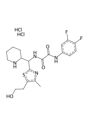 Cc1nc(C(NC(=O)C(=O)Nc2ccc(F)c(F)c2)C2CCCCN2)sc1CCO.Cl.Cl